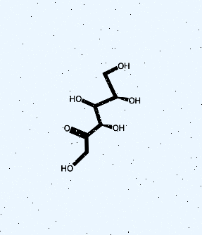 O=C(CO)[C@H](O)C(O)[C@H](O)CO